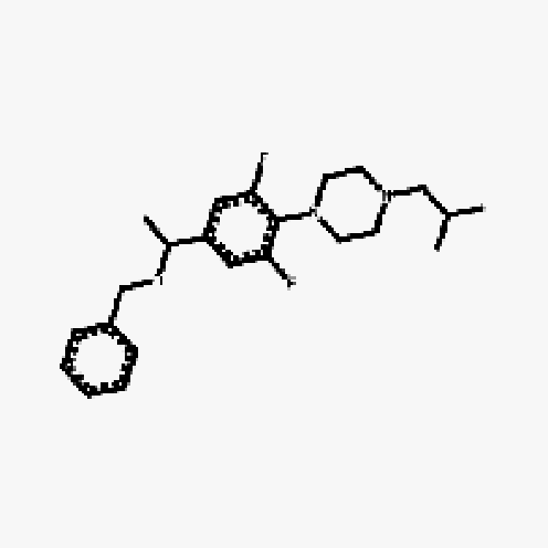 C[C](C)CN1CCN(c2c(F)cc(C(C)OCc3ccccc3)cc2F)CC1